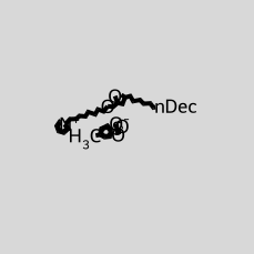 CCCCCCCCCCCCCCCCC1COC(COCCCCCCCC[n+]2ccccc2)C1.Cc1ccc(S(=O)(=O)[O-])cc1